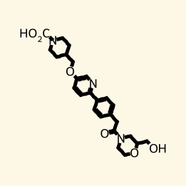 O=C(O)N1CCC(COc2ccc(-c3ccc(CC(=O)N4CCOC(CO)C4)cc3)nc2)CC1